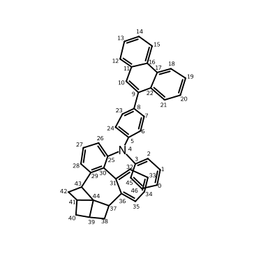 c1ccc(N(c2ccc(-c3cc4ccccc4c4ccccc34)cc2)c2cccc3c2-c2ccccc2C2CC4CC5CC3C452)cc1